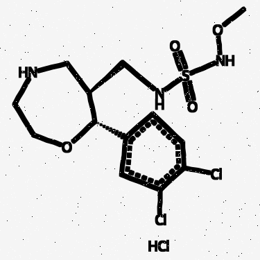 CONS(=O)(=O)NC[C@@H]1CNCCO[C@H]1c1ccc(Cl)c(Cl)c1.Cl